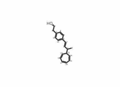 CC(/C=C/c1ccc(CCO)cc1)C1C=CC=CC=C1